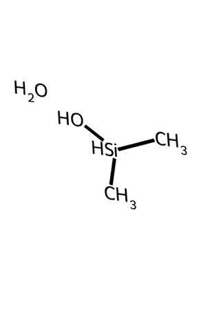 C[SiH](C)O.O